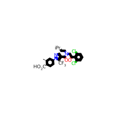 CC(C)CCN(CC(=O)c1c(Cl)cccc1Cl)C(=O)c1cnn([C@H]2CC[C@H](C(=O)O)[C@H](C)C2)c1C(F)(F)F